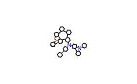 c1ccc(-c2ccc(N(c3ccc4c5ccccc5c5ccccc5c5ccccc5c5c(ccc6c7ccccc7sc65)c4c3)c3ccc4c(c3)c3ccccc3n4-c3ccccc3)cc2)cc1